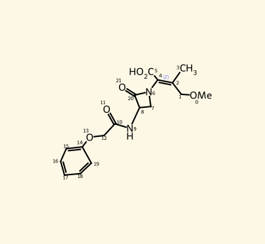 COC/C(C)=C(/C(=O)O)N1CC(NC(=O)COc2ccccc2)C1=O